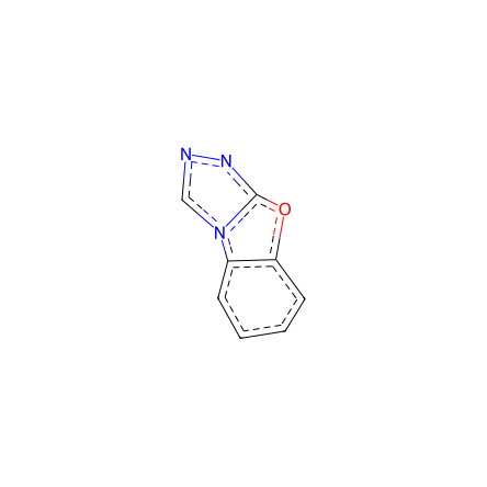 c1ccc2c(c1)oc1nncn12